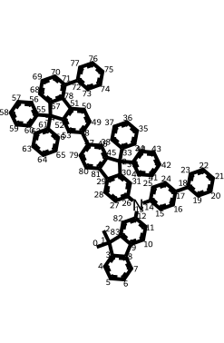 CC1(C)c2ccccc2-c2ccc(N(c3ccc(-c4ccccc4)cc3)c3ccc4c(c3)C(c3ccccc3)(c3ccccc3)c3cc(-c5ccc6c(c5)C(c5ccccc5)(c5ccccc5)c5cccc(-c7ccccc7)c5-6)ccc3-4)cc21